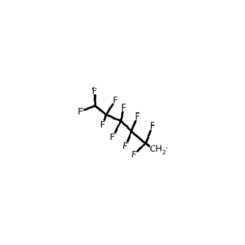 [CH2]C(F)(F)C(F)(F)C(F)(F)C(F)(F)C(F)F